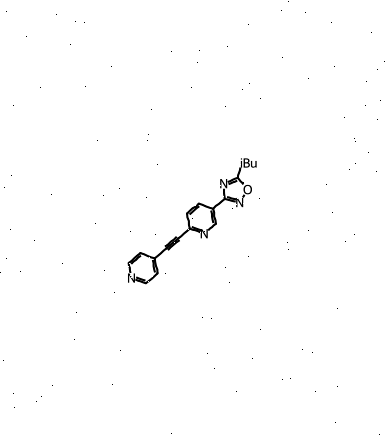 CCC(C)c1nc(-c2ccc(C#Cc3ccncc3)nc2)no1